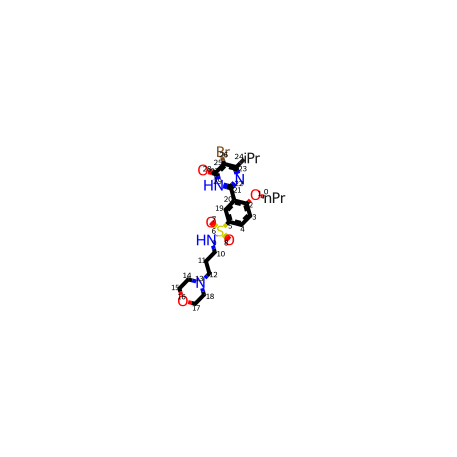 CCCOc1ccc(S(=O)(=O)NCCCN2CCOCC2)cc1-c1nc(C(C)C)c(Br)c(=O)[nH]1